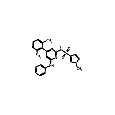 Cc1cccc(C)c1-c1cc(Nc2ccccc2)nc(NS(=O)(=O)c2cnn(C)c2)n1